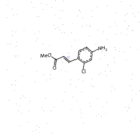 COC(=O)/C=C/c1ccc(N)cc1Cl